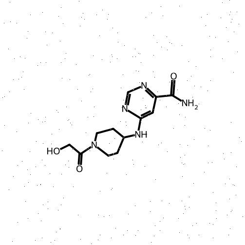 NC(=O)c1cc(NC2CCN(C(=O)CO)CC2)ncn1